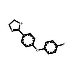 Fc1ccc(Oc2ccc(C3=NCCN3)cc2)cc1